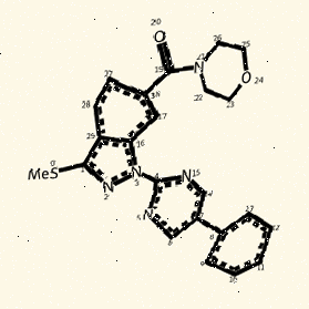 CSc1nn(-c2ncc(-c3ccccc3)cn2)c2cc(C(=O)N3CCOCC3)ccc12